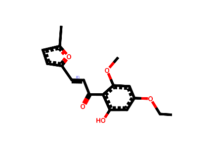 CCOc1cc(O)c(C(=O)/C=C/c2ccc(C)o2)c(OC)c1